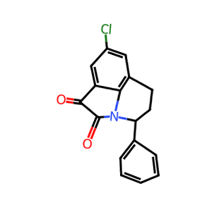 O=C1C(=O)N2c3c(cc(Cl)cc31)CCC2c1ccccc1